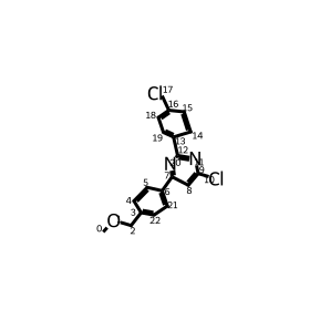 COCc1ccc(-c2cc(Cl)nc(-c3ccc(Cl)cc3)n2)cc1